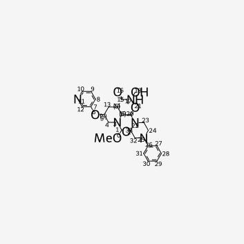 COC(=O)N1C[C@@H](Oc2cccnc2)C[C@H](C(=O)NO)[C@H]1C(=O)N1CCN(c2ccccc2)CC1